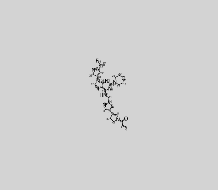 C=CC(=O)N1C=C(c2cnc(CNc3nc(N4CCOCC4)nc4c3ncn4-c3cnn(C(F)F)c3)s2)CC1